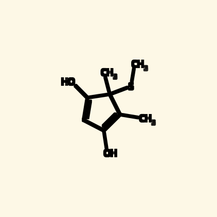 CSC1(C)C(O)=CC(O)=C1C